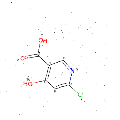 O=C(O)c1cnc(Cl)cc1O